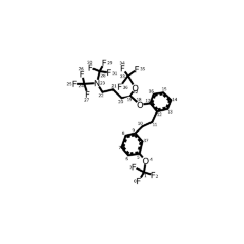 FC(F)(F)Oc1cccc(CCc2ccccc2O[C@@H](CCCN(C(F)(F)F)C(F)(F)F)OC(F)(F)F)c1